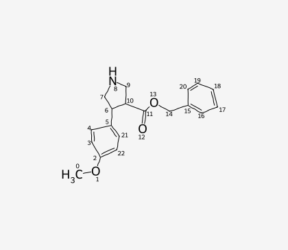 COc1ccc(C2CNCC2C(=O)OCc2ccccc2)cc1